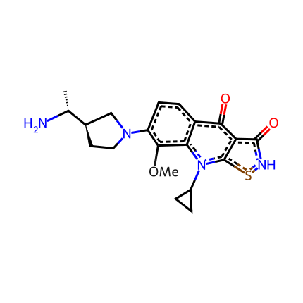 COc1c(N2CC[C@@H]([C@@H](C)N)C2)ccc2c(=O)c3c(=O)[nH]sc3n(C3CC3)c12